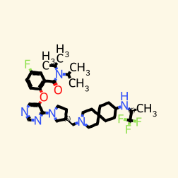 CC(C)N(C(=O)c1cc(F)ccc1Oc1cncnc1N1CC[C@@H](CN2CCC3(CCC(N[C@@H](C)C(F)(F)F)CC3)CC2)C1)C(C)C